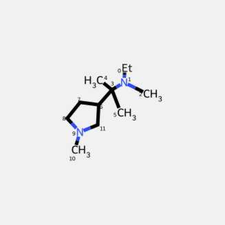 CCN(C)C(C)(C)C1CCN(C)C1